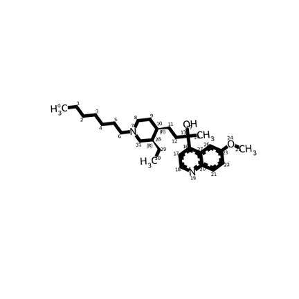 CCCCCCCN1CC[C@@H](CCC(C)(O)c2ccnc3ccc(OC)cc23)[C@@H](CC)C1